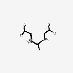 CC([SiH2]CC(Cl)Cl)[SiH2]CC(Cl)Cl